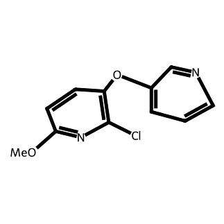 COc1ccc(Oc2cccnc2)c(Cl)n1